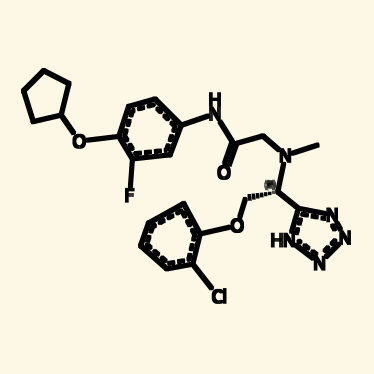 CN(CC(=O)Nc1ccc(OC2CCCC2)c(F)c1)[C@@H](COc1ccccc1Cl)c1nnn[nH]1